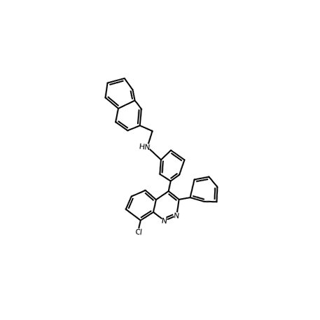 Clc1cccc2c(-c3cccc(NCc4ccc5ccccc5c4)c3)c(-c3ccccc3)nnc12